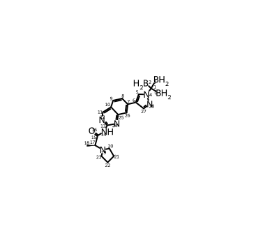 BC(B)(B)n1cc(-c2ccc3cnc(NC(=O)[C@H](C)N4CCCC4)nc3c2)cn1